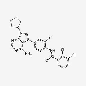 Nc1ncnc2c1c(-c1ccc(N[S+]([O-])c3cccc(Cl)c3Cl)c(F)c1)cn2C1CCCC1